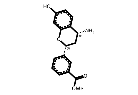 COC(=O)c1cccc([C@H]2C[C@@H](N)c3ccc(O)cc3O2)c1